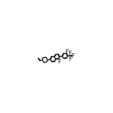 C=CC1CCC(c2ccc3c(F)c(-c4ccc(C(F)(F)F)c(F)c4)ccc3c2)CC1